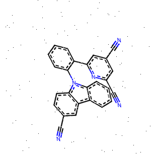 N#Cc1cc(C#N)nc(-c2ccccc2-n2c3ccccc3c3cc(C#N)ccc32)c1